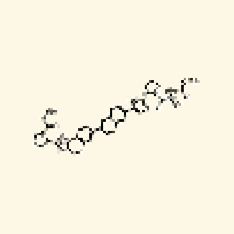 COC(=O)N[C@H](C(=O)N1CCC[C@H]1c1ncc(-c2ccc3cc(-c4ccc5c(c4)CCc4nc(C6CCCN6C(=O)OC(C)(C)C)[nH]c4-5)ccc3c2)[nH]1)C(C)C